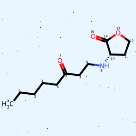 CCCCCC(=O)CCN[C@H]1CCOC1=O